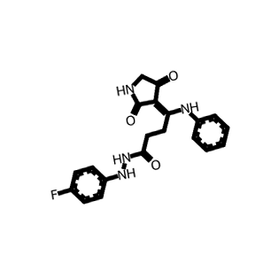 O=C(CCC(Nc1ccccc1)=C1C(=O)CNC1=O)NNc1ccc(F)cc1